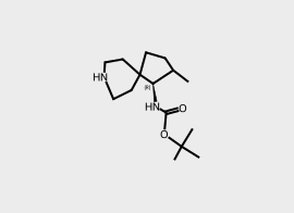 CC1CCC2(CCNCC2)[C@@H]1NC(=O)OC(C)(C)C